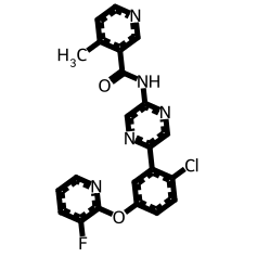 Cc1ccncc1C(=O)Nc1cnc(-c2cc(Oc3ncccc3F)ccc2Cl)cn1